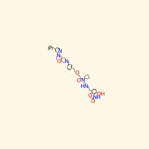 CC(C)c1ccnc(N2CCOC3(CCN(Cc4cccc(CCOCCC(=O)N(CCNCCc5ccc(O)c6c5OCC(=O)N6)C5CCCC5)c4)CC3)C2)c1